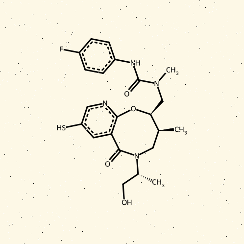 C[C@H](CO)N1C[C@H](C)[C@H](CN(C)C(=O)Nc2ccc(F)cc2)Oc2ncc(S)cc2C1=O